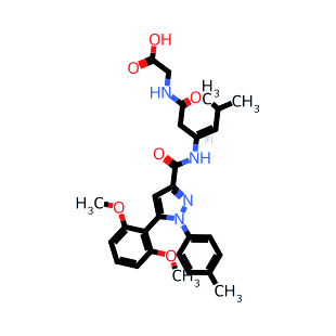 COc1cccc(OC)c1-c1cc(C(=O)N/C(=C/C(C)C)CC(=O)NCC(=O)O)nn1-c1ccc(C)cc1